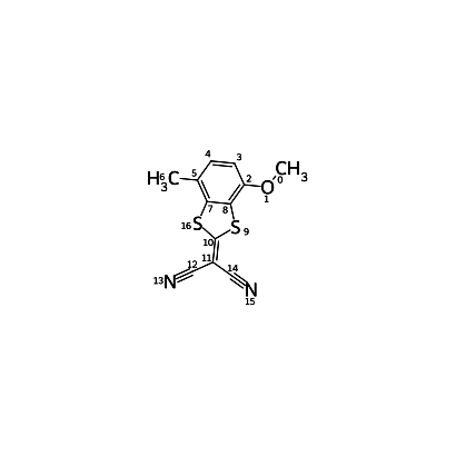 COc1ccc(C)c2c1SC(=C(C#N)C#N)S2